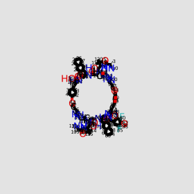 CN[C@@H](C)C(=O)N[C@H](C(=O)N1C[C@@H]2C[C@H]1C(=O)N[C@@H](Cc1ccc3ccccc3c1)C(=O)N[C@H](C(=O)O)Cc1ccc(cc1)OCc1cn(nn1)[C@H]1C[C@@H](C(=O)N[C@@H](Cc3ccc4ccccc4c3)C(=O)N[C@H](C(=O)NCc3cc(F)c(OC)c(F)c3)Cc3ccc(cc3)OCc3cn2nn3)N(C(=O)[C@@H](NC(=O)[C@H](C)NC)C(C)(C)C)C1)C(C)(C)C